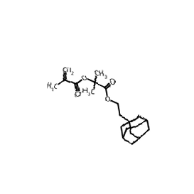 C=C(C)C(=O)OC(C)(C)C(=O)OCCC12CC3CC(CC(C3)C1)C2